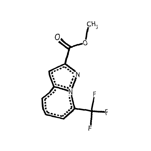 COC(=O)c1cc2cccc(C(F)(F)F)n2n1